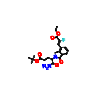 CCOC(=O)/C(F)=C/c1cccc2c1CN(C(CCC(=O)OC(C)(C)C)C(N)=O)C2=O